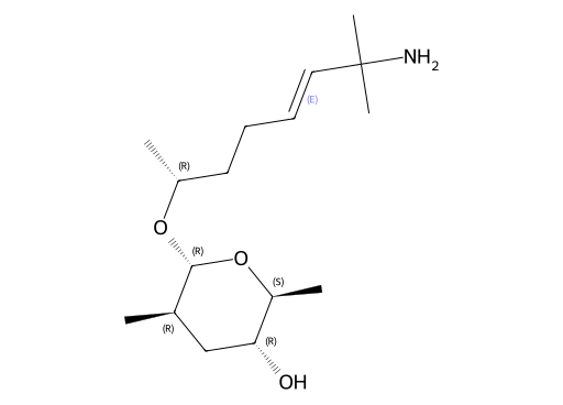 C[C@H](CC/C=C/C(C)(C)N)O[C@@H]1O[C@@H](C)[C@H](O)C[C@H]1C